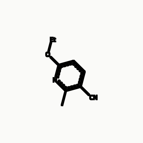 CCOc1ccc(C#N)c(C)n1